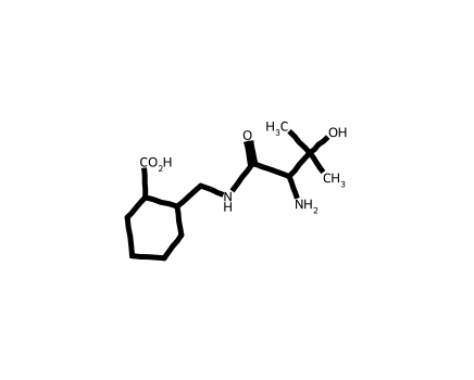 CC(C)(O)C(N)C(=O)NCC1CCCCC1C(=O)O